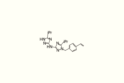 C=Cc1ccc(Cn2nc(Nc3n[nH]c(C(C)C)n3)nc2C(C)C)cc1